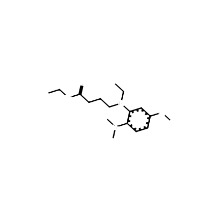 CCOC(=O)CCCN(CC)c1cc(OC)ccc1N(C)C